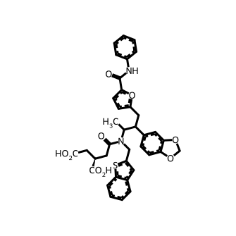 CC(C(Cc1ccc(C(=O)Nc2ccccc2)o1)c1ccc2c(c1)OCO2)N(Cc1cc2ccccc2s1)C(=O)C[C@H](CC(=O)O)C(=O)O